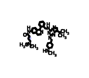 CNC1CCC(C=Nc2nc(NCc3ccccc3-c3nccc4cc(NC(=O)/C=C/CN(C)C)ccc34)n3ncc(C(C)C)c3n2)CC1